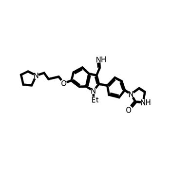 CCn1c(-c2ccc(N3CCNC3=O)cc2)c(C=N)c2ccc(OCCCN3CCCC3)cc21